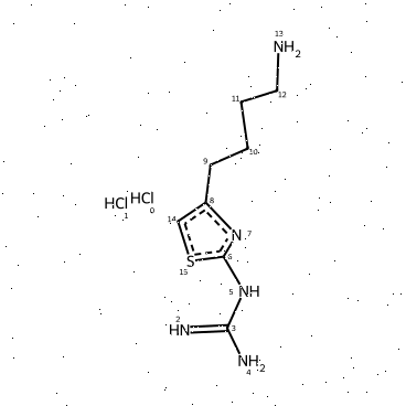 Cl.Cl.N=C(N)Nc1nc(CCCCN)cs1